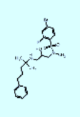 CN(CC(O)CNC(C)(C)CCCc1ccccc1)S(=O)(=O)c1ccc(Br)cc1F